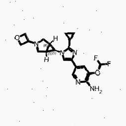 Nc1ncc(-c2cn([C@H]3[C@@H]4CN(C5COC5)C[C@@H]43)c(C3CC3)n2)cc1OC(F)F